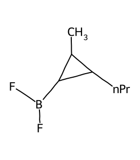 CCCC1C(C)C1B(F)F